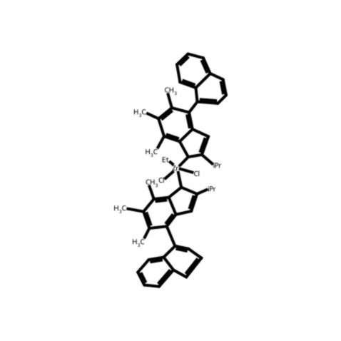 C[CH2][Zr]([Cl])([Cl])([CH]1C(C(C)C)=Cc2c(-c3cccc4ccccc34)c(C)c(C)c(C)c21)[CH]1C(C(C)C)=Cc2c(-c3cccc4ccccc34)c(C)c(C)c(C)c21